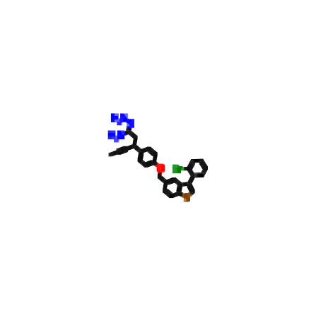 CC#CC(C/C(N)=N/N)c1ccc(OCc2ccc3scc(-c4ccccc4Br)c3c2)cc1